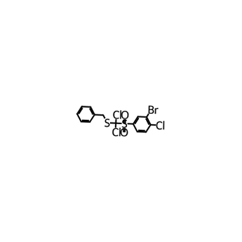 O=S(=O)(c1ccc(Cl)c(Br)c1)C(Cl)(Cl)SCc1ccccc1